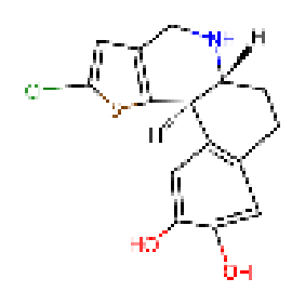 Oc1cc2c(cc1O)[C@H]1c3sc(Cl)cc3CN[C@@H]1CC2